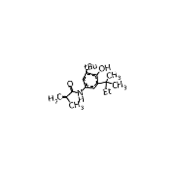 C=C(C)C(=O)Nc1cc(C(C)(C)C)c(O)c(C(C)(C)CC)c1